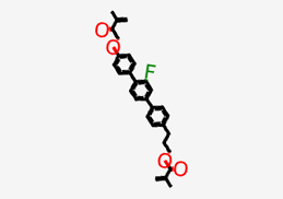 C=C(C)C(=O)COc1ccc(-c2ccc(-c3ccc(CCCOC(=O)C(=C)C)cc3)cc2F)cc1